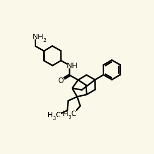 CCCC1(CC)C2CC3(c4ccccc4)CC1C(C(=O)NC1CCC(CN)CC1)(C2)C3